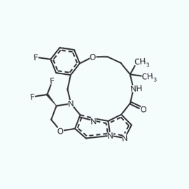 CC1(C)CCOc2ccc(F)cc2CN2c3nc4c(cnn4cc3OC[C@H]2C(F)F)C(=O)N1